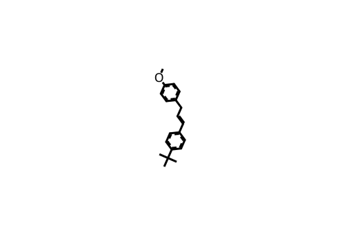 COc1ccc(CC=Cc2ccc(C(C)(C)C)cc2)cc1